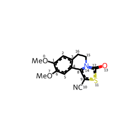 COc1cc2c(cc1OC)-c1c(C#N)sc(=O)n1CC2